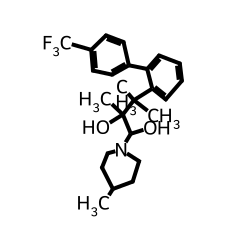 CC1CCN(C(O)C(C)(O)C(C)(C)c2ccccc2-c2ccc(C(F)(F)F)cc2)CC1